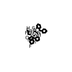 CN1C(=O)[C@@H](NC(=O)[C@](c2ccccc2)(c2ccc(F)cc2)[C@@H](CCC(F)(F)F)C(N)=O)N=C(c2ccccc2)c2ccccc21